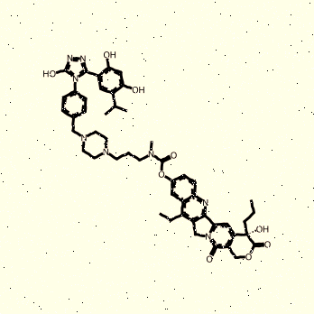 CCC[C@@]1(O)C(=O)OCc2c1cc1n(c2=O)Cc2c-1nc1ccc(OC(=O)N(C)CCCN3CCN(Cc4ccc(-n5c(O)nnc5-c5cc(C(C)C)c(O)cc5O)cc4)CC3)cc1c2CC